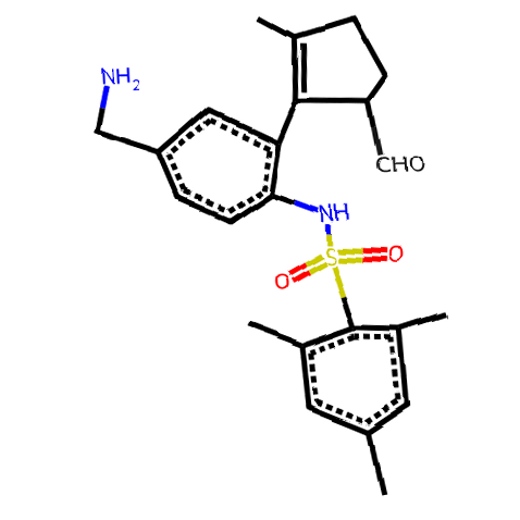 CC1=C(c2cc(CN)ccc2NS(=O)(=O)c2c(C)cc(C)cc2C)C(C=O)CC1